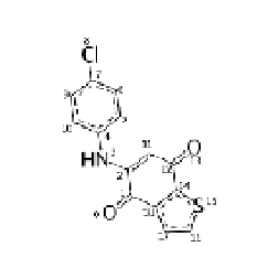 O=C1C(Nc2ccc(Cl)cc2)=CC(=O)c2sccc21